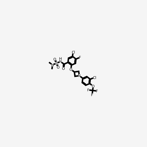 CN(C)S(=O)(=O)NC(=O)c1cc(Cl)c(F)cc1OC1CN(c2ccc(OC(F)(F)F)c(Cl)c2)C1